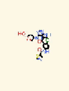 O=C(Nc1ccc(Cl)c(C(=O)c2c[nH]c3ncnc(N[C@@H]4CC[C@@H](CO)OC4)c23)c1)c1cncs1